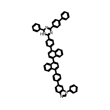 c1ccc(-c2ccc(C3=NC(c4ccccc4)NC(c4ccc(-c5ccc(-c6ccc(-c7ccc(-c8ccc9ncn(-c%10ccccc%10)c9c8)cc7)c7ccccc67)c6ccccc56)cc4)=N3)cc2)cc1